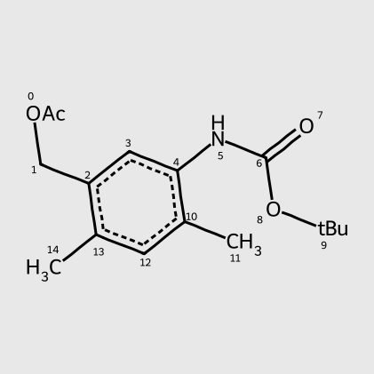 CC(=O)OCc1cc(NC(=O)OC(C)(C)C)c(C)cc1C